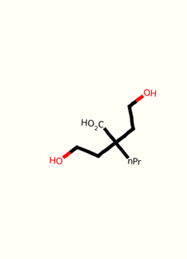 CCCC(CCO)(CCO)C(=O)O